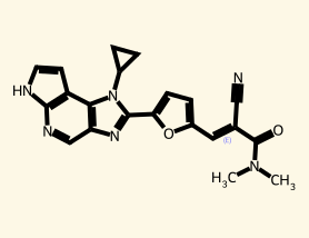 CN(C)C(=O)/C(C#N)=C/c1ccc(-c2nc3cnc4[nH]ccc4c3n2C2CC2)o1